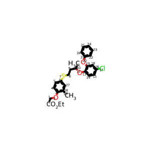 CCOC(=O)COc1ccc(SCCC(C)Oc2ccc(Cl)cc2Oc2ccccc2)cc1C